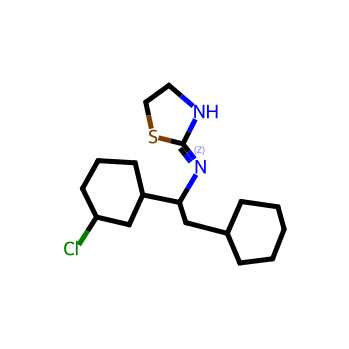 ClC1CCCC(C(CC2CCCCC2)/N=C2/NCCS2)C1